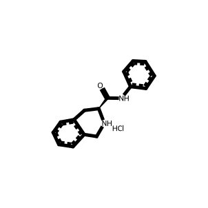 Cl.O=C(Nc1ccccc1)[C@@H]1Cc2ccccc2CN1